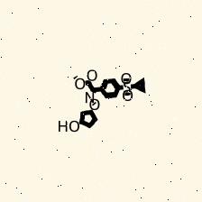 COC(=O)/C(=N/O[C@@H]1CC[C@@H](O)C1)c1ccc(S(=O)(=O)C2CC2)cc1